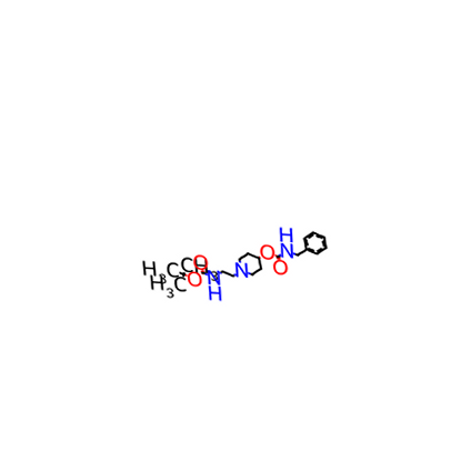 CC(C)(C)OC(=O)NCCN1CCC(OC(=O)NCc2ccccc2)CC1